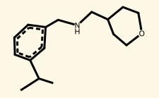 CC(C)c1cccc(CNCC2CCOCC2)c1